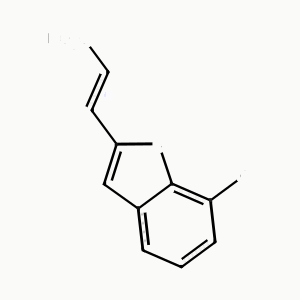 O=C(O)/C=C/c1cc2cccc(Cl)c2s1